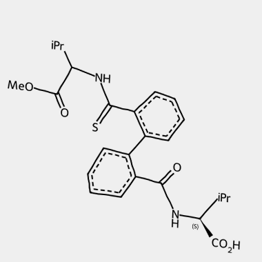 COC(=O)C(NC(=S)c1ccccc1-c1ccccc1C(=O)N[C@H](C(=O)O)C(C)C)C(C)C